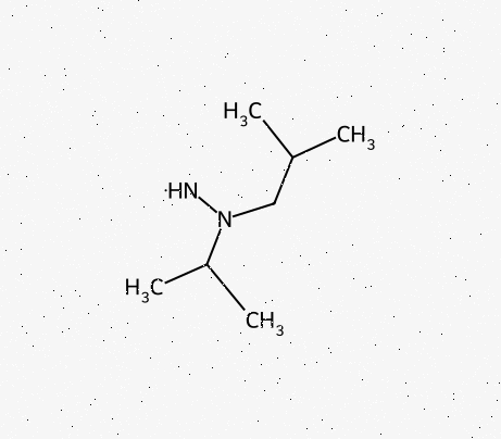 CC(C)CN([NH])C(C)C